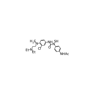 CCN(CC)CCN(C)c1ccc(NC(=O)N(S)c2ccc(NC(C)=O)cc2)cc1Cl